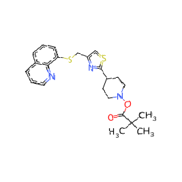 CC(C)(C)C(=O)ON1CCC(c2nc(CSc3cccc4cccnc34)cs2)CC1